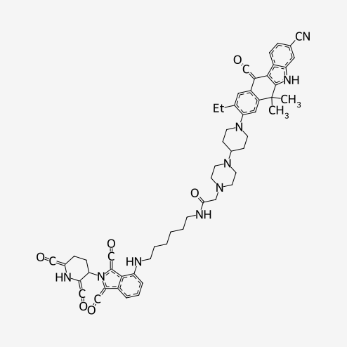 CCc1cc2c(cc1N1CCC(N3CCN(CC(=O)NCCCCCCNc4cccc5c(=C=O)n(C6CCC(=C=O)NC6=C=O)c(=C=O)c45)CC3)CC1)C(C)(C)c1[nH]c3cc(C#N)ccc3c1C2=C=O